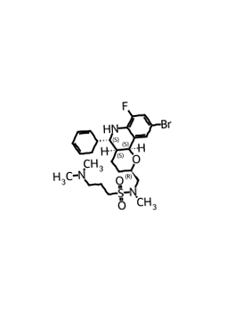 CN(C)CCCS(=O)(=O)N(C)C[C@H]1CC[C@@H]2[C@H](O1)c1cc(Br)cc(F)c1N[C@H]2C1C=CC=CC1